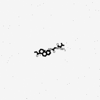 CCC(=O)[C@@]1(C)CCCC2(C)c3cc(NC(=O)CNC(=O)C(N)C(C)C)ccc3CCC21